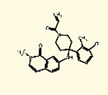 C=CC(=O)N1CCC(Nc2ccc3ccn(C)c(=O)c3c2)(c2cccc(Cl)c2C)CC1